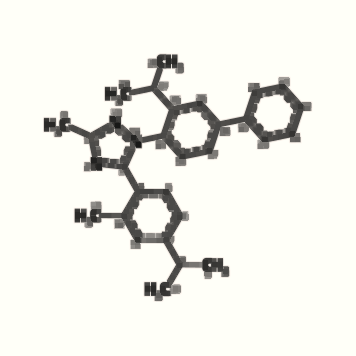 Cc1nc(-c2ccc(C(C)C)cc2C)n(-c2ccc(-c3ccccc3)cc2C(C)C)n1